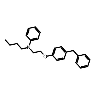 CCCCN(CCOc1ccc(Cc2ccccc2)cc1)c1ccccc1